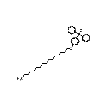 CCCCCCCCCCCCCCCCOc1ccc(C(Cl)(c2ccccc2)c2ccccc2)cc1